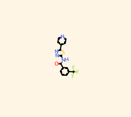 O=C(Nc1nnc(-c2ccncc2)s1)c1cccc(C(F)(F)F)c1